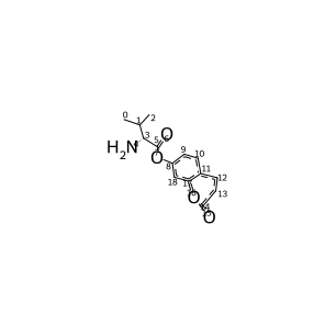 CC(C)[C@@H](N)C(=O)Oc1ccc2ccc(=O)oc2c1